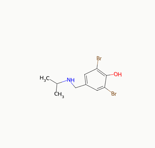 CC(C)NCc1cc(Br)c(O)c(Br)c1